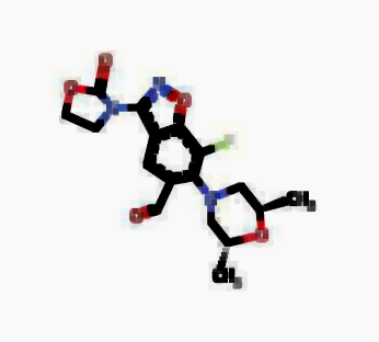 C[C@@H]1CN(c2c(C=O)cc3c(N4CCOC4=O)noc3c2F)C[C@@H](C)O1